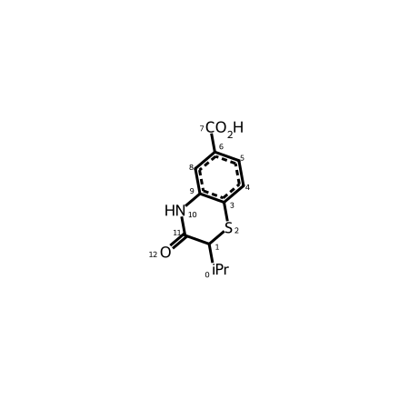 CC(C)C1Sc2ccc(C(=O)O)cc2NC1=O